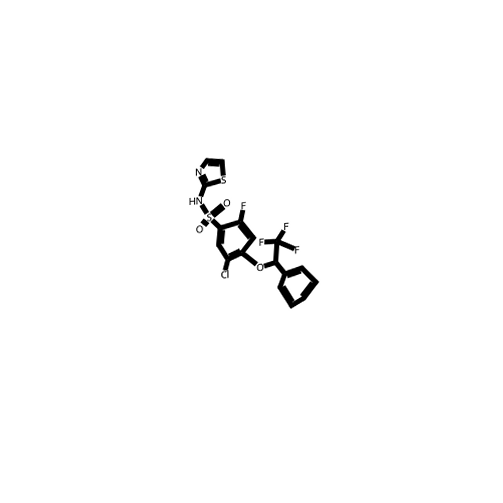 O=S(=O)(Nc1nccs1)c1cc(Cl)c(OC(c2ccccc2)C(F)(F)F)cc1F